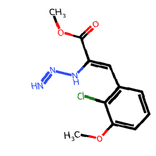 COC(=O)/C(=C/c1cccc(OC)c1Cl)NN=N